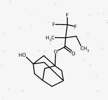 CCC(C)(C(=O)OC12CC3CC(CC(O)(C3)C1)C2)C(F)(F)F